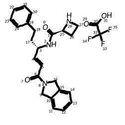 O=C(N[C@H](C=CC(=O)N1Cc2ccccc2C1)CCc1ccccc1)[C@@H]1CCN1.O=C(O)C(F)(F)F